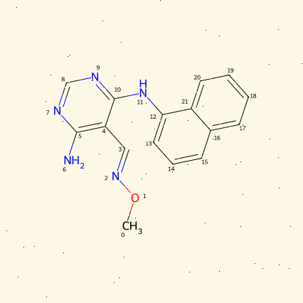 CO/N=C/c1c(N)ncnc1Nc1cccc2ccccc12